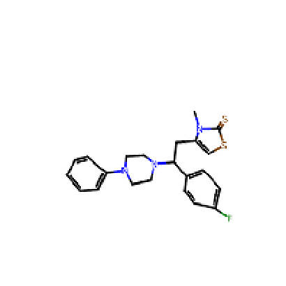 Cn1c(CC(c2ccc(F)cc2)N2CCN(c3ccccc3)CC2)csc1=S